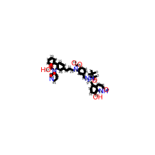 CC(C)(C)[Si](C)(C)O[C@@H](CNCc1ccc2oc(=O)n(CC=Cc3ccc(-c4ccccc4)c(N(C(=O)O)C4CN5CCC4CC5)c3)c2c1)c1ccc(O)c2[nH]c(=O)ccc12